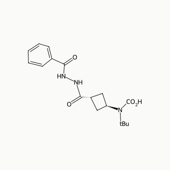 CC(C)(C)N(C(=O)O)[C@H]1C[C@H](C(=O)NNC(=O)c2ccccc2)C1